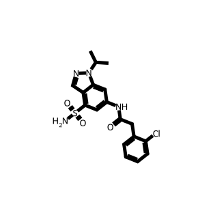 CC(C)n1ncc2c(S(N)(=O)=O)cc(NC(=O)Cc3ccccc3Cl)cc21